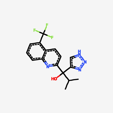 CC(C)C(O)(c1c[nH]nn1)c1ccc2c(C(F)(F)F)cccc2n1